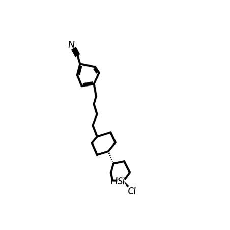 N#Cc1ccc(CCCCC2CCC([C@H]3CC[Si@H](Cl)CC3)CC2)cc1